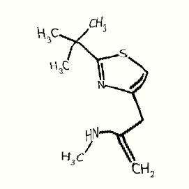 C=C(Cc1csc(C(C)(C)C)n1)NC